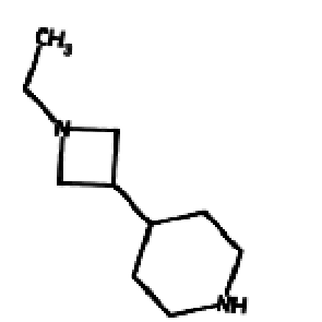 CCN1CC(C2CCNCC2)C1